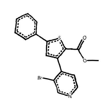 COC(=O)c1sc(-c2ccccc2)cc1-c1ccncc1Br